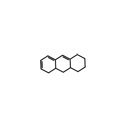 [C]1CCCC2CC3CC=CC=C3C=C12